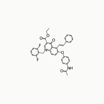 CCOC(=O)c1cn(Cc2c(F)cccc2F)c2ccc(Oc3ccc(NC(C)=O)cc3)c(C=Cc3ccccc3)c2c1=O